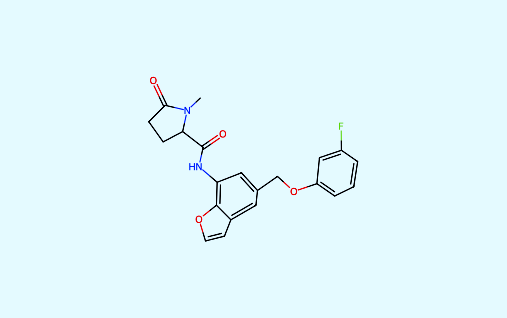 CN1C(=O)CCC1C(=O)Nc1cc(COc2cccc(F)c2)cc2ccoc12